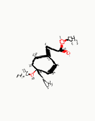 COC(=O)C=C1C=CC(C)(OC)CC1